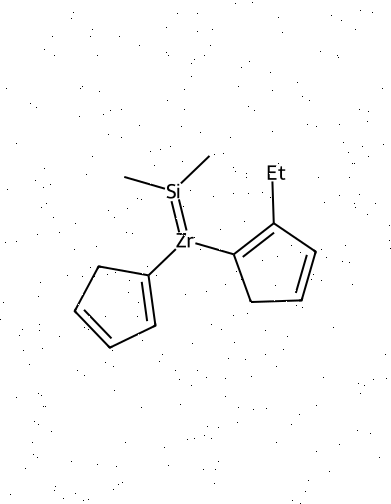 CCC1=[C]([Zr]([C]2=CC=CC2)=[Si](C)C)CC=C1